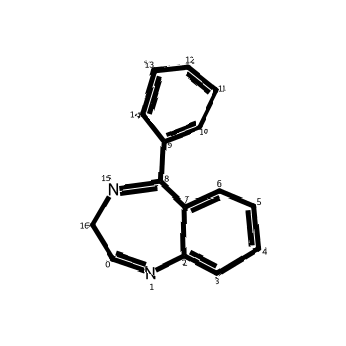 C1=Nc2ccccc2C(c2ccccc2)=NC1